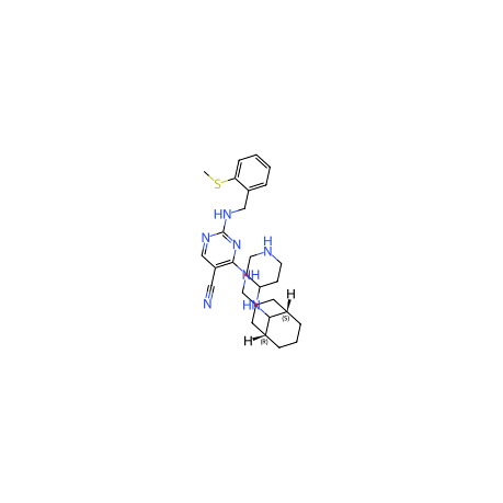 CSc1ccccc1CNc1ncc(C#N)c(NCC2C[C@H]3CCC[C@@H](C2)C3NC2CCNCC2)n1